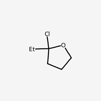 CCC1(Cl)CCCO1